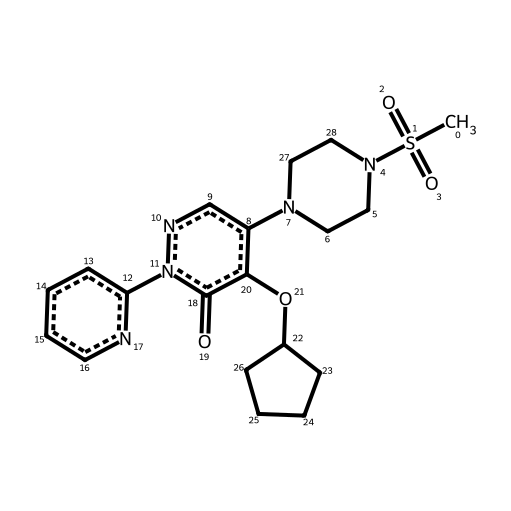 CS(=O)(=O)N1CCN(c2cnn(-c3ccccn3)c(=O)c2OC2CCCC2)CC1